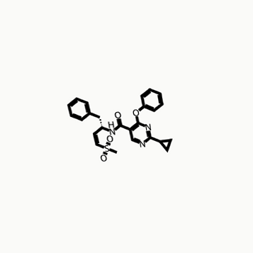 CS(=O)(=O)/C=C\[C@H](Cc1ccccc1)NC(=O)c1cnc(C2CC2)nc1Oc1ccccc1